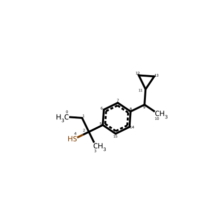 CCC(C)(S)c1ccc(C(C)C2CC2)cc1